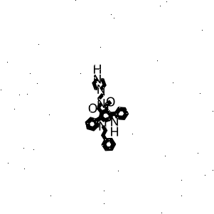 O=C1c2c(c3c4ccccc4n(CCc4ccccc4)c3c3[nH]c4ccccc4c23)C(=O)N1CCN1CCNCC1